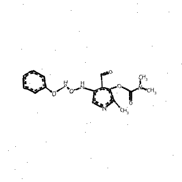 Cc1ncc(NOPOc2ccccc2)c(C=O)c1OC(=O)N(C)C